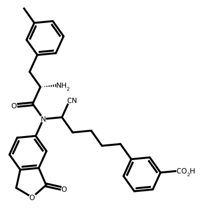 Cc1cccc(C[C@H](N)C(=O)N(c2ccc3c(c2)C(=O)OC3)C(C#N)CCCCc2cccc(C(=O)O)c2)c1